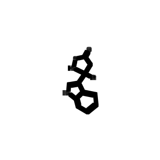 CCC1(c2c[nH]c3ccccc23)CC(=O)ON1